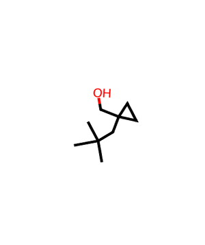 CC(C)(C)CC1(CO)CC1